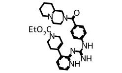 CCOC(=O)N1CC=C(c2ccc[nH]/c2=N\C(=N)Nc2ccc(C(=O)N3CCN4CCCCC4C3)cc2)CC1